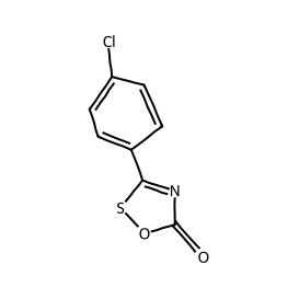 O=c1nc(-c2ccc(Cl)cc2)so1